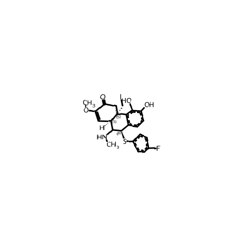 CNC1[C@H](Sc2ccc(F)cc2)c2ccc(O)c(O)c2[C@]2(CI)CC(=O)C(OC)=C[C@H]12